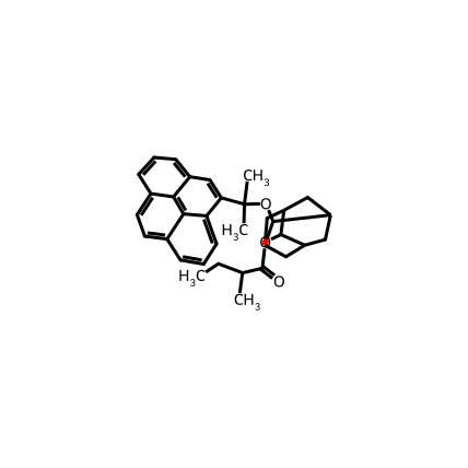 CCC(C)C(=O)OC1C2CC3CC1CC(C2)C3OC(C)(C)c1cc2cccc3ccc4cccc1c4c32